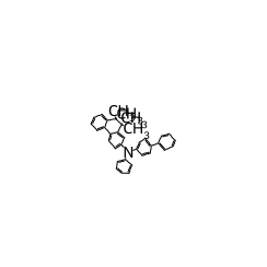 CC1(C)c2ccccc2-c2ccc(N(c3ccccc3)c3ccc(-c4ccccc4)cc3)cc2C1(C)C